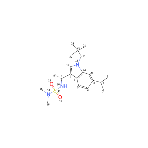 CC(C)c1ccc2c([C@@H](C)NS(=O)(=O)N(C)C)cn(CC(C)(C)C)c2c1